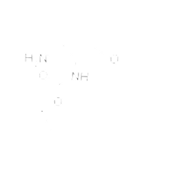 COCC(CN)NC(=O)OC(C)(C)C